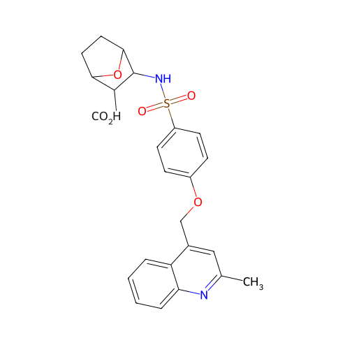 Cc1cc(COc2ccc(S(=O)(=O)NC3C4CCC(O4)C3C(=O)O)cc2)c2ccccc2n1